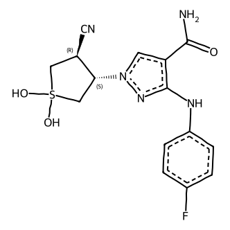 N#C[C@@H]1CS(O)(O)C[C@H]1n1cc(C(N)=O)c(Nc2ccc(F)cc2)n1